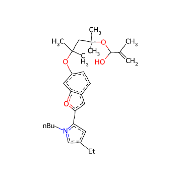 C=C(C)C(O)OC(C)(C)CC(C)(C)Oc1ccc2cc(-c3cc(CC)cn3CCCC)oc2c1